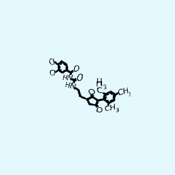 Cc1cc(C)c(C2C(=O)CC(CCNC(=O)NC(=O)c3ccc(Cl)c(Cl)c3)C2=O)c(C)c1